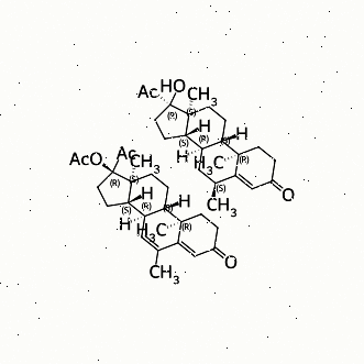 CC(=O)O[C@]1(C(C)=O)CC[C@H]2[C@@H]3C=C(C)C4=CC(=O)CC[C@]4(C)[C@H]3CC[C@@]21C.CC(=O)[C@@]1(O)CC[C@H]2[C@@H]3C[C@H](C)C4=CC(=O)CC[C@]4(C)[C@H]3CC[C@@]21C